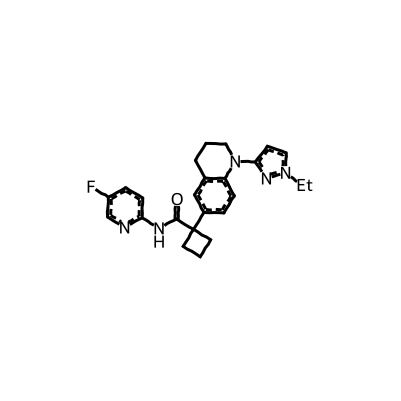 CCn1ccc(N2CCCc3cc(C4(C(=O)Nc5ccc(F)cn5)CCC4)ccc32)n1